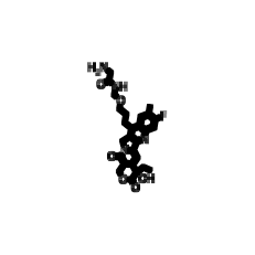 CC[C@@]1(O)C(=O)OCc2c1cc1n(c2=O)Cc2c-1nc1cc(F)c(C)cc1c2CCCOCNC(=O)CN